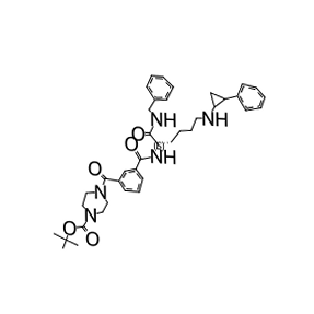 CC(C)(C)OC(=O)N1CCN(C(=O)c2cccc(C(=O)N[C@@H](CCCCNC3CC3c3ccccc3)C(=O)NCc3ccccc3)c2)CC1